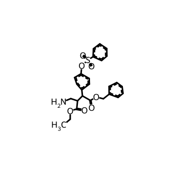 CCOC(=O)C(CN)C(C(=O)OCc1ccccc1)c1ccc(OS(=O)(=O)c2ccccc2)cc1